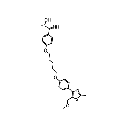 COCc1sc(C)nc1-c1ccc(OCCCCCOc2ccc(C(=N)NO)cc2)cc1